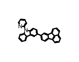 c1ccc(-n2c3ccccc3c3cc(-c4ccc5c(c4)-c4cccc6cccc-5c46)ccc32)nc1